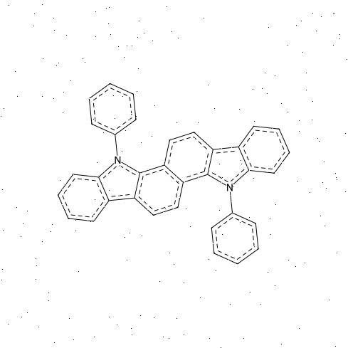 c1ccc(-n2c3ccccc3c3ccc4c(ccc5c6ccccc6n(-c6ccccc6)c54)c32)cc1